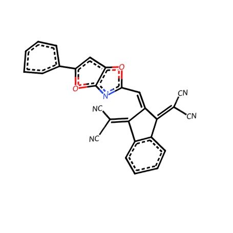 N#CC(C#N)=C1C(=Cc2nc3oc(-c4ccccc4)cc3o2)C(=C(C#N)C#N)c2ccccc21